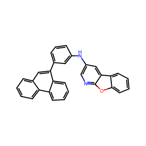 c1cc(Nc2cnc3oc4ccccc4c3c2)cc(-c2cc3ccccc3c3ccccc23)c1